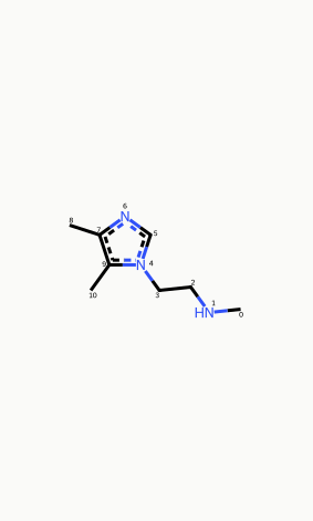 CNCCn1cnc(C)c1C